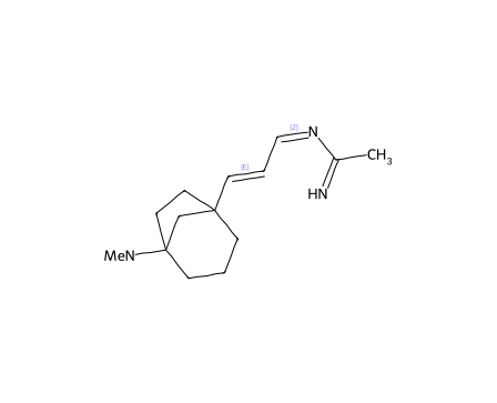 CNC12CCCC(/C=C/C=N\C(C)=N)(CC1)C2